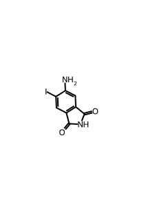 Nc1cc2c(cc1I)C(=O)NC2=O